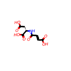 O=C(O)/C=C/C(=O)N[C@@H](CC(=O)O)C(=O)O